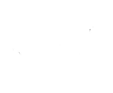 CC(=O)O[C@H](CF)COc1ccc(C(C)(C)c2cc(Cl)c(OC[C@H](CCl)OC(C)=O)c(Cl)c2)cc1